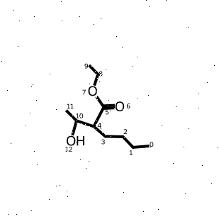 CCCCC(C(=O)OCC)C(C)O